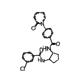 O=C(NC1CCCC1NC(=O)c1cccc(Cl)c1)c1ccc(-n2ccccc2=O)cc1